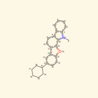 Cn1c2ccccc2c2ccc3c4cc(C5CCCCC5)ccc4oc3c21